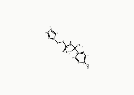 CC(C)(NC(=O)CCn1ccnc1)c1ccc(Cl)cc1